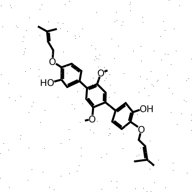 COc1cc(-c2ccc(OCC=C(C)C)c(O)c2)c(OC)cc1-c1ccc(OCC=C(C)C)c(O)c1